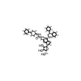 O=C(NCc1nc(NCC(c2ccccc2)c2ccccc2)c2ncn([C@@H]3O[C@H](CO)[C@@H](O)[C@H]3O)c2n1)NC1CCN(c2ccccn2)CC1